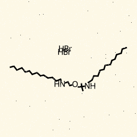 Br.Br.CCCCCCCCCCCCCCNCCOCC(C)(C)NCCCCCCCCCCCCCC